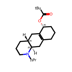 CCCN1CCC[C@@H]2CC3=C(CCC[C@H]3OC(=O)C(C)(C)C)C[C@H]21